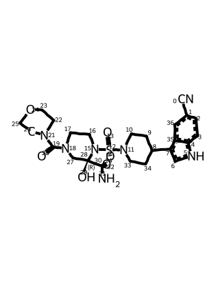 N#Cc1ccc2[nH]cc(C3CCN(S(=O)(=O)N4CCN(C(=O)N5CCOCC5)C[C@@]4(O)C(N)=O)CC3)c2c1